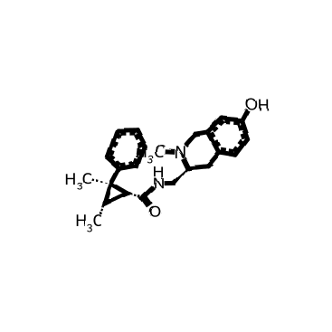 C[C@H]1[C@@H](C(=O)NC[C@@H]2Cc3ccc(O)cc3CN2C)[C@]1(C)c1ccccc1